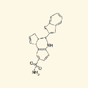 NS(=O)(=O)c1ccc2c(c1)C1C=CCC1C(c1cc3ccccc3s1)N2